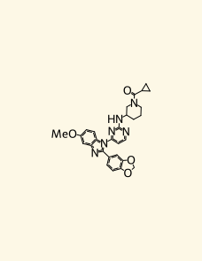 COc1ccc2c(c1)nc(-c1ccc3c(c1)OCO3)n2-c1ccnc(NC2CCCN(C(=O)C3CC3)C2)n1